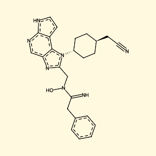 N#CC[C@H]1CC[C@H](n2c(CN(O)C(=N)Cc3ccccc3)nc3cnc4[nH]ccc4c32)CC1